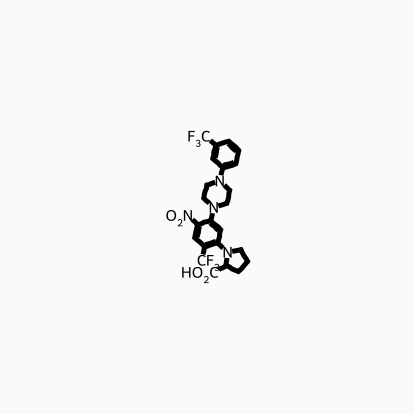 O=C(O)C1CCCN1c1cc(N2CCN(c3cccc(C(F)(F)F)c3)CC2)c([N+](=O)[O-])cc1C(F)(F)F